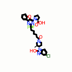 C[C@H]1CN(C(=O)CCCCCC(F)(F)c2nc(N3CCC[C@H]3C(=O)O)c3oc4ccccc4c3n2)CC[C@@H]1n1c(O)nc2cc(Cl)ccc21